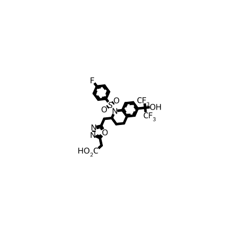 O=C(O)Cc1nnc(CC2CCc3cc(C(O)(C(F)(F)F)C(F)(F)F)ccc3N2S(=O)(=O)c2ccc(F)cc2)o1